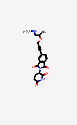 CC(C)(C)C(CNC(=O)O)OCC#Cc1ccc2c(c1)C(=O)N(C1CCC(=O)NC1=O)C2=O